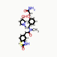 CN(C(=O)Cc1ccc2sc(=O)[nH]c2c1)[C@H](CN1CC[C@H](O)C1)c1cccc(OCC(N)=O)c1